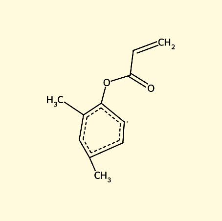 C=CC(=O)Oc1[c]cc(C)cc1C